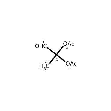 CC(=O)OC(C)([C]=O)OC(C)=O